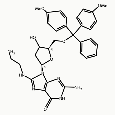 COc1ccc(C(OC[C@H]2O[C@@H](n3c(NCCN)nc4c(=O)[nH]c(N)nc43)CC2O)(c2ccccc2)c2ccc(OC)cc2)cc1